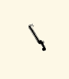 CN=NN=NN=NN=NN=NN=NN=NN=NN=NN=NOc1ccc(C(=O)OCCOc2ccccc2)cc1